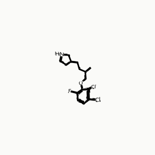 CC(CCC1CCNC1)COc1c(F)ccc(Cl)c1Cl